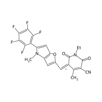 CCN1C(=O)C(C#N)=C(C)/C(=C/c2cc3c(cc(-c4c(F)c(F)c(F)c(F)c4F)n3C)o2)C1=O